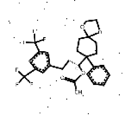 CC(=O)O[C@H](CCc1cc(C(F)(F)F)cc(C(F)(F)F)c1)C1(c2ccccc2)CCC2(CC1)OCCO2